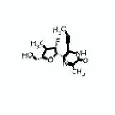 CC#Cc1[nH]c(=O)c(C)nc1[C@@H]1O[C@H](CO)C(C)[C@@H]1F